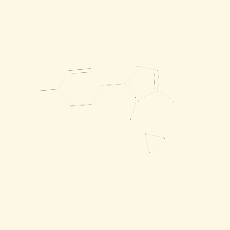 Cc1ccc(-c2ccc(Cl)cc2)n1CC1CC1